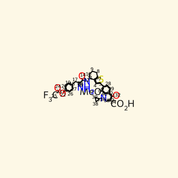 COc1c(-c2cc3c(s2)CCCC3NC(=O)[C@H](N)Cc2ccc(OC(=O)C(F)(F)F)cc2)ccc2c(=O)c(C(=O)O)cn(C3CC3)c12